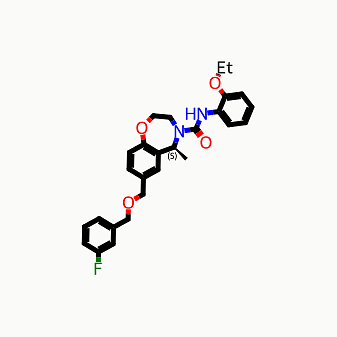 CCOc1ccccc1NC(=O)N1CCOc2ccc(COCc3cccc(F)c3)cc2[C@@H]1C